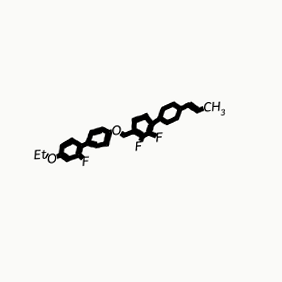 C/C=C/C1CCC(c2ccc(COc3ccc(-c4ccc(OCC)cc4F)cc3)c(F)c2F)CC1